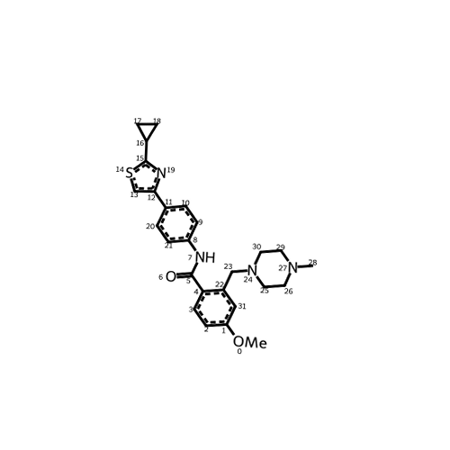 COc1ccc(C(=O)Nc2ccc(-c3csc(C4CC4)n3)cc2)c(CN2CCN(C)CC2)c1